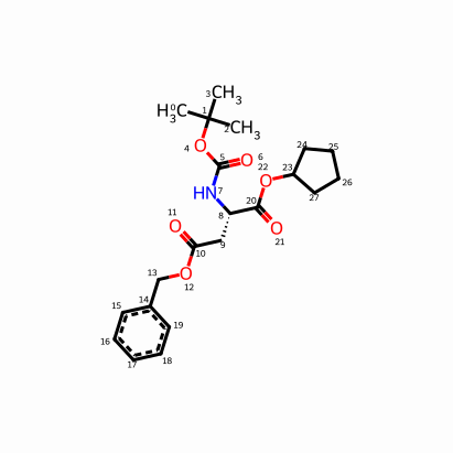 CC(C)(C)OC(=O)N[C@@H](CC(=O)OCc1ccccc1)C(=O)OC1CCCC1